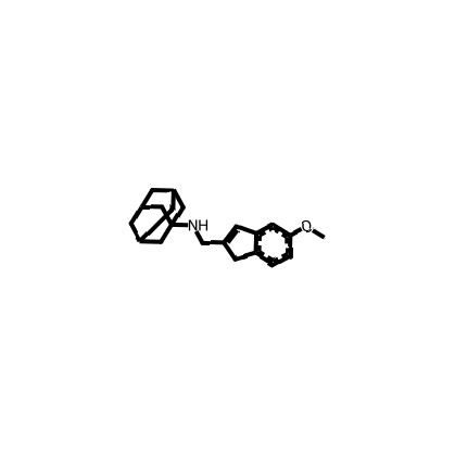 COc1ccc2c(c1)C=C(CNC13CC4CC(CC(C4)C1)C3)C2